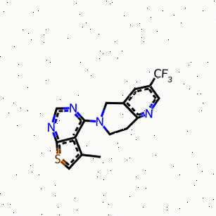 Cc1csc2ncnc(N3CCc4ncc(C(F)(F)F)cc4C3)c12